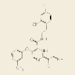 N=C/C(Cl)=C1/N=CC(Oc2cccc(C(F)(F)F)c2)=C(C(=O)NCCc2ccc(Cl)cc2Cl)N1